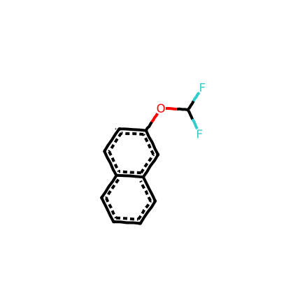 FC(F)Oc1[c]cc2ccccc2c1